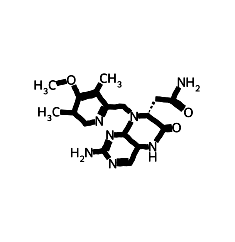 COC1=C(C)C(CN2C3N=C(N)N=CC3NC(=O)[C@H]2CC(N)=O)=NCC1C